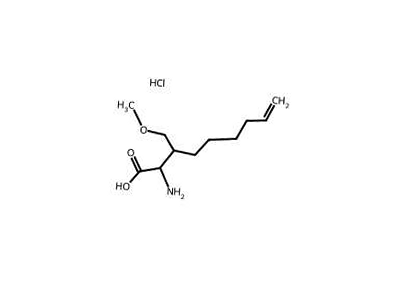 C=CCCCCC(COC)C(N)C(=O)O.Cl